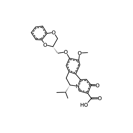 COc1cc2c(cc1OC[C@H]1COc3ccccc3O1)C[C@@H](C(C)C)n1cc(C(=O)O)c(=O)cc1-2